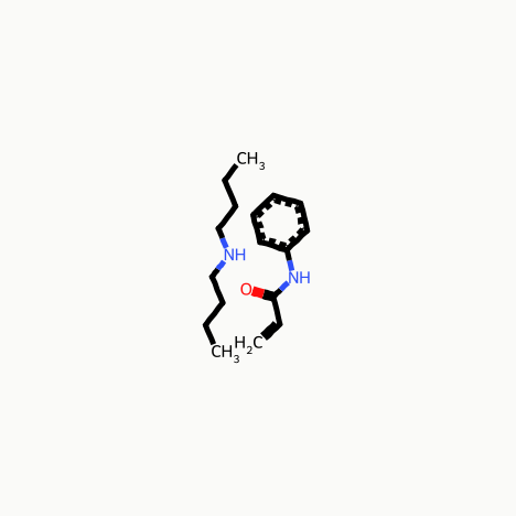 C=CC(=O)Nc1ccccc1.CCCCNCCCC